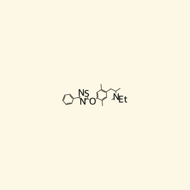 CCN(C)C(C)Cc1cc(C)c(Oc2nc(-c3ccccc3)ns2)cc1C